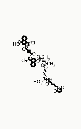 CN(CCN(C)C(=O)Oc1cc2c(c3ccccc13)[C@H](CCl)CN2C(=O)C12CC(C(=O)N3C[C@@H](CCl)c4c3cc(OO)c3ccccc43)(C1)C2)C(=O)OCCSSC[C@H](NC(=O)CCCCCN1C(=O)C=CC1=O)C(=O)O